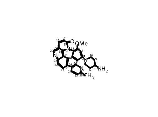 COc1cc(N2CCC(N)CC2)ccc1-n1c(=O)ccc2cnc3ccc(-c4ccc(C)nc4)cc3c21